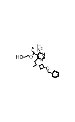 C=C=C(OCCO)c1c(N)ncnc1CC(C)[C@H]1C[C@H](OCc2ccccc2)C1